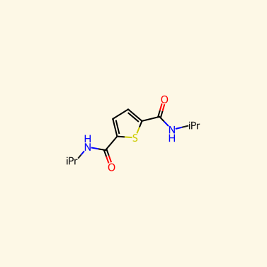 CC(C)NC(=O)c1ccc(C(=O)NC(C)C)s1